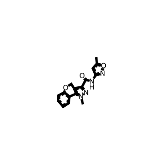 Cc1cc(NC(=O)c2nn(C)c3c2COc2ccccc2-3)no1